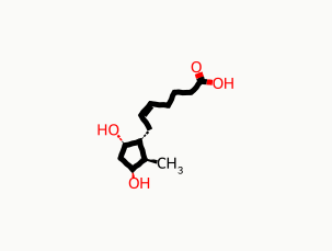 C[C@@H]1[C@@H](C/C=C\CCCC(=O)O)[C@@H](O)C[C@H]1O